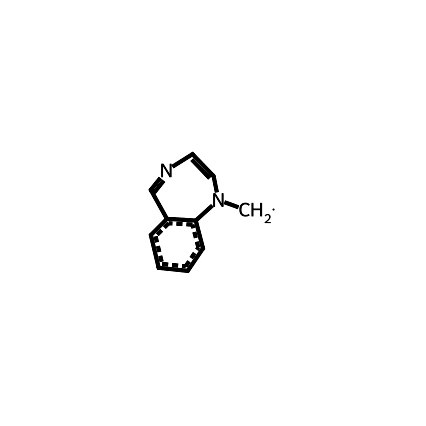 [CH2]N1C=CN=Cc2ccccc21